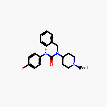 CCCC(C)N1CCC(N(Cc2ccccc2)C(=O)Nc2ccc(I)cc2)CC1